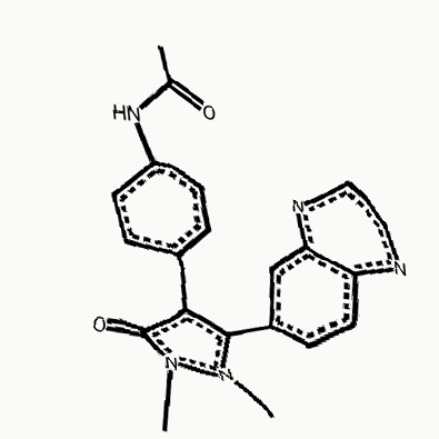 CC(=O)Nc1ccc(-c2c(-c3ccc4nccnc4c3)n(C)n(C)c2=O)cc1